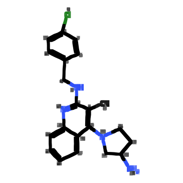 N#Cc1c(NCc2ccc(Cl)cc2)nc2ccccc2c1N1CCC(N)C1